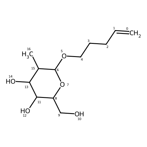 C=CCCCOC1OC(CO)C(O)C(O)C1C